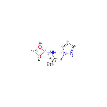 CC[C@H](Cn1cccn1)NC1OCO1